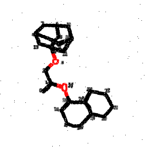 CC(COC12CC3CC(CC(C3)C1)C2)OC1CCCC2CCCCC21